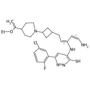 C=C(OCC)C1CCN(C2CC(C/C=C(\C=C/N)Nc3cc(-c4cc(Cl)ccc4F)nnc3S)C2)CC1